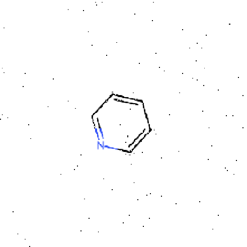 [c]1[c]nc[c]c1